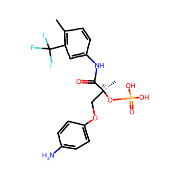 Cc1ccc(NC(=O)[C@](C)(COc2ccc(N)cc2)OP(=O)(O)O)cc1C(F)(F)F